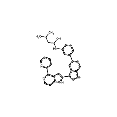 CC(C)CC(O)Nc1cncc(-c2cc3c(-c4cc5c(-c6ccccn6)nccc5[nH]4)n[nH]c3cn2)c1